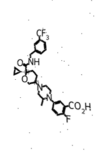 CC1CN([C@@H]2CC[C@@](C(=O)NCc3cccc(C(F)(F)F)c3)(C3CC3)OC2)CCN1c1ccc(F)c(C(=O)O)c1